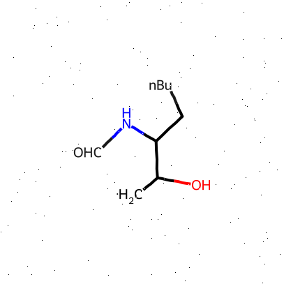 [CH2]C(O)C(CCCCC)NC=O